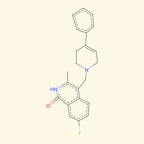 Cc1[nH]c(=O)c2cc(F)ccc2c1CN1CC=C(c2ccccc2)CC1